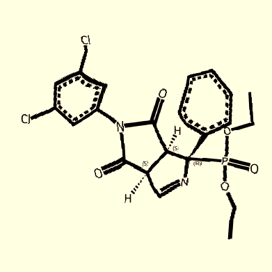 CCOP(=O)(OCC)[C@]1(c2ccccc2)N=C[C@H]2C(=O)N(c3cc(Cl)cc(Cl)c3)C(=O)[C@H]21